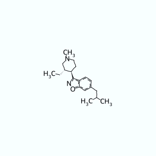 CC[C@@H]1CN(C)CC[C@H]1c1noc2cc(CC(C)C)ccc12